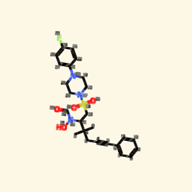 CC(C)(CC#Cc1ccccc1)C(CS(=O)(=O)N1CCN(c2ccc(F)cc2)CC1)N(O)C=O